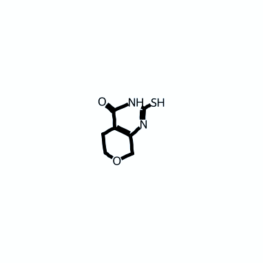 O=c1[nH]c(S)nc2c1CCOC2